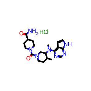 CC1CCN(C(=O)N2CCC(C(N)=O)CC2)CC1N(C)c1ncnc2[nH]ccc12.Cl